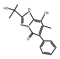 Cc1c(-c2ccccc2)c(=O)n2nc(C(C)(C)O)[nH]c2c1C#N